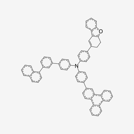 C1=C(c2ccc(N(c3ccc(-c4cccc(-c5cccc6ccccc56)c4)cc3)c3ccc(-c4ccc5c6ccccc6c6ccccc6c5c4)cc3)cc2)CCc2oc3ccccc3c21